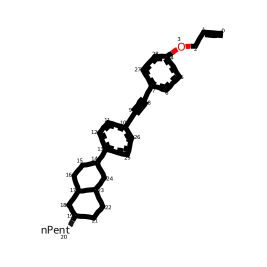 C=CCOc1ccc(C#Cc2ccc(C3CCC4CC(CCCCC)CCC4C3)cc2)cc1